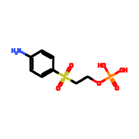 Nc1ccc(S(=O)(=O)CCOP(=O)(O)O)cc1